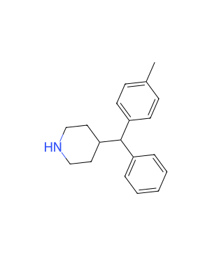 Cc1ccc(C(c2ccccc2)C2CCNCC2)cc1